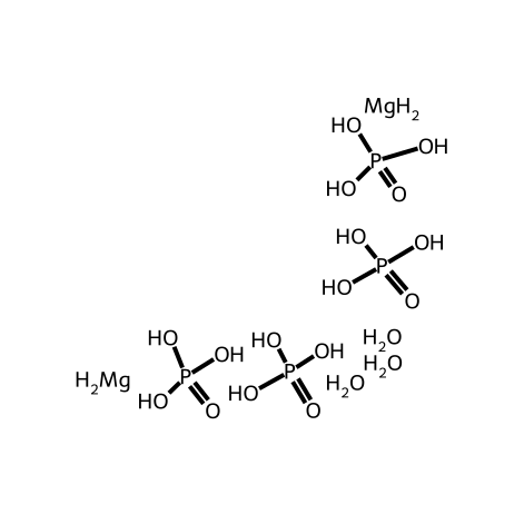 O.O.O.O=P(O)(O)O.O=P(O)(O)O.O=P(O)(O)O.O=P(O)(O)O.[MgH2].[MgH2]